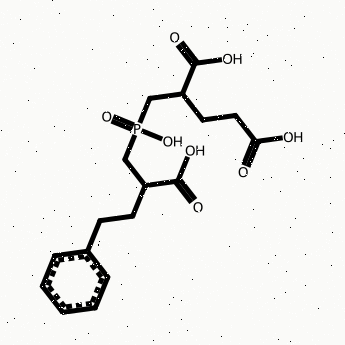 O=C(O)CCC(CP(=O)(O)CC(CCc1ccccc1)C(=O)O)C(=O)O